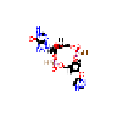 O=c1[nH]cnc2c1nnn2[C@@H]1C[C@@H]2CO[P@](=O)(S)O[C@H]3C[C@H](Oc4ccncn4)C[C@@H]3CO[P@](=O)(S)O[C@@H]1[C@@H]2O